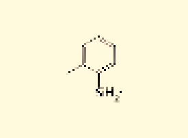 Cc1ccccc1[SiH2]